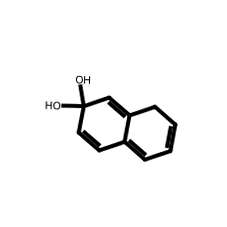 OC1(O)C=CC2=CC=CCC2=C1